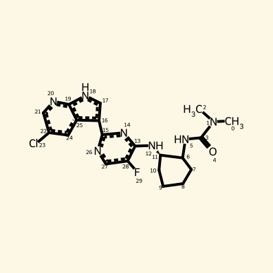 CN(C)C(=O)NC1CCCC[C@@H]1Nc1nc(-c2c[nH]c3ncc(Cl)cc23)ncc1F